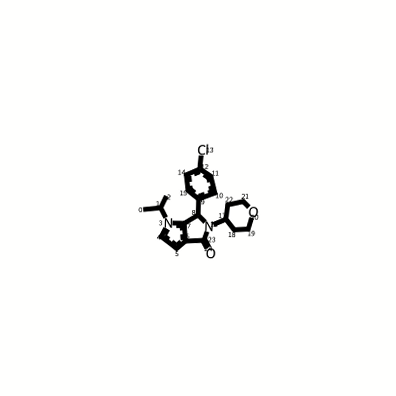 CC(C)n1ccc2c1C(c1ccc(Cl)cc1)N(C1CCOCC1)C2=O